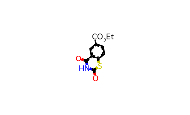 CCOC(=O)c1ccc2sc(=O)[nH]c(=O)c2c1